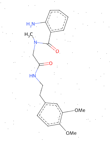 COc1ccc(CCNC(=O)CN(C)C(=O)c2ccccc2N)cc1OC